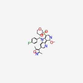 COC1N=CC(S(C)(=O)=O)=c2c1c1c(n2[C@H](c2ccc(F)cc2)C2CCOCC2)=C=C(c2c(C)noc2C)C=N1